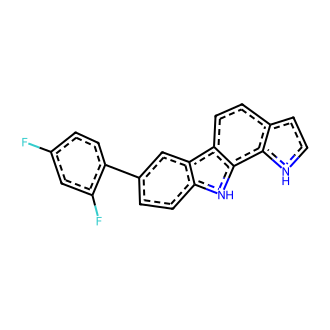 Fc1ccc(-c2ccc3[nH]c4c(ccc5cc[nH]c54)c3c2)c(F)c1